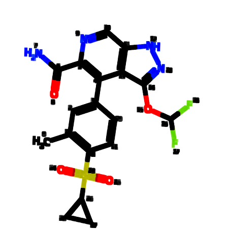 Cc1cc(-c2c(C(N)=O)ncc3[nH]nc(OC(F)F)c23)ccc1S(=O)(=O)C1CC1